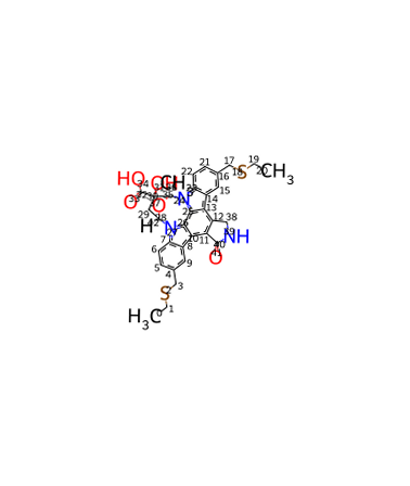 CCSCc1ccc2c(c1)c1c3c(c4c5cc(CSCC)ccc5n5c4c1n2[C@H]1C[C@](O)(C(=O)O)[C@]5(C)O1)CNC3=O